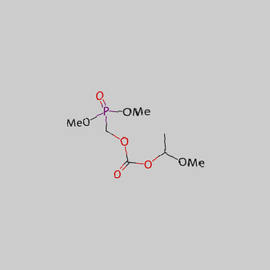 COC(C)OC(=O)OCP(=O)(OC)OC